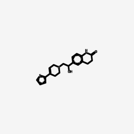 O=C1CCc2cc(C(O)CN3CC=C(c4cccs4)CC3)ccc2N1